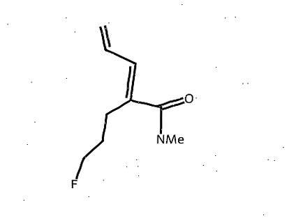 C=C/C=C(\CCCF)C(=O)NC